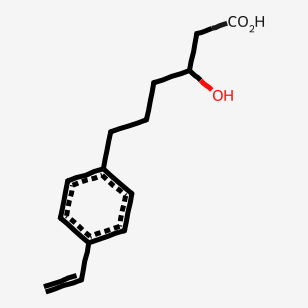 C=Cc1ccc(CCCC(O)CC(=O)O)cc1